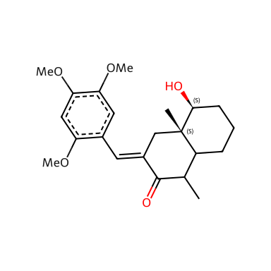 COc1cc(OC)c(OC)cc1C=C1C[C@@]2(C)C(CCC[C@@H]2O)C(C)C1=O